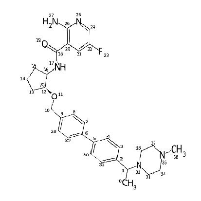 CC(c1ccc(-c2ccc(CO[C@H]3CCCC3NC(=O)c3cc(F)cnc3N)cc2)cc1)N1CCN(C)CC1